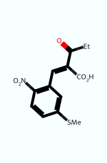 CCC(=O)/C(=C/c1cc(SC)ccc1[N+](=O)[O-])C(=O)O